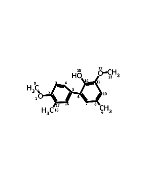 COc1ccc(-c2cc(C)cc(OC)c2O)cc1C